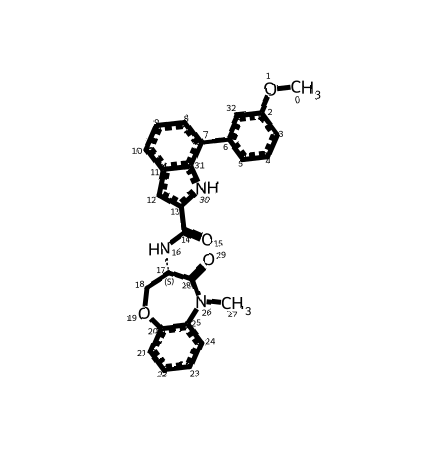 COc1cccc(-c2cccc3cc(C(=O)N[C@H]4COc5ccccc5N(C)C4=O)[nH]c23)c1